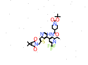 CCc1nc(C(F)(F)F)cc(-c2ccnc3cc(CN4C(=O)C5C(C4=O)C5(C)C)sc23)c1NC(=O)C1CCN(C(=O)OC(C)(C)C)CC1